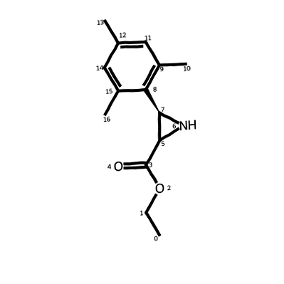 CCOC(=O)C1N[C@@H]1c1c(C)cc(C)cc1C